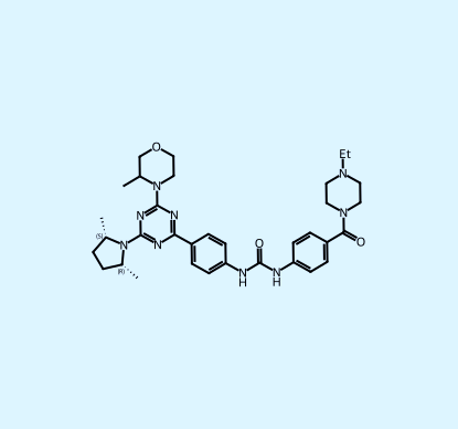 CCN1CCN(C(=O)c2ccc(NC(=O)Nc3ccc(-c4nc(N5CCOCC5C)nc(N5[C@H](C)CC[C@@H]5C)n4)cc3)cc2)CC1